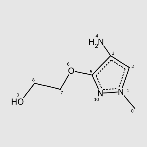 Cn1cc(N)c(OCCO)n1